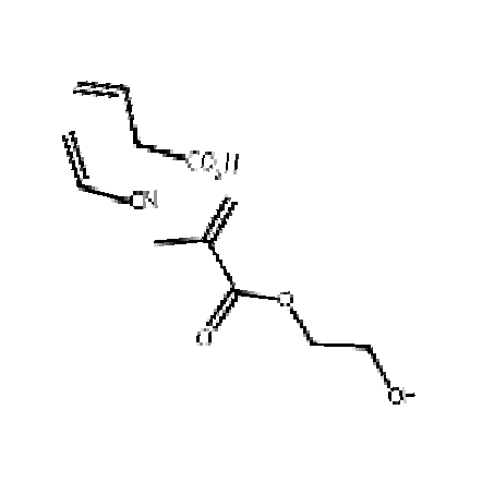 C=C(C)C(=O)OCCO.C=CC#N.C=CCC(=O)O